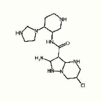 NC1NN2CC(Cl)CNC2C1C(=O)NC1CNCCC1N1CCNC1